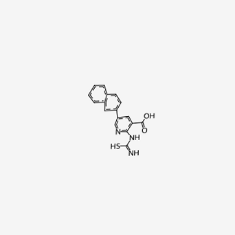 N=C(S)Nc1ncc(-c2ccc3ccccc3c2)cc1C(=O)O